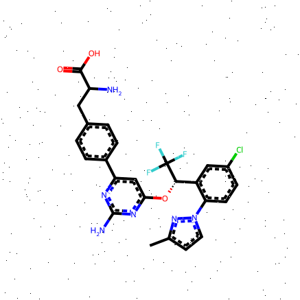 Cc1ccn(-c2ccc(Cl)cc2[C@H](Oc2cc(-c3ccc(CC(N)C(=O)O)cc3)nc(N)n2)C(F)(F)F)n1